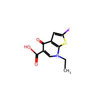 CCn1cc(C(=O)O)c(=O)c2cc(I)sc21